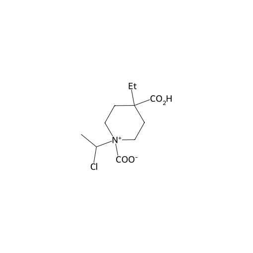 CCC1(C(=O)O)CC[N+](C(=O)[O-])(C(C)Cl)CC1